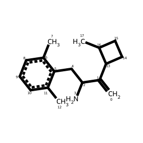 C=C(C(N)Cc1c(C)cccc1C)C1CCC1C